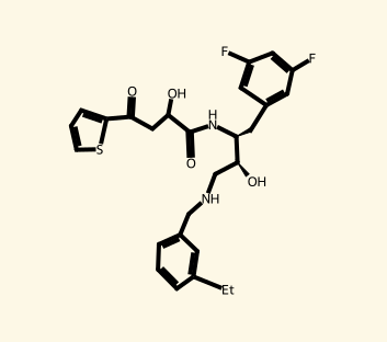 CCc1cccc(CNC[C@H](O)[C@H](Cc2cc(F)cc(F)c2)NC(=O)C(O)CC(=O)c2cccs2)c1